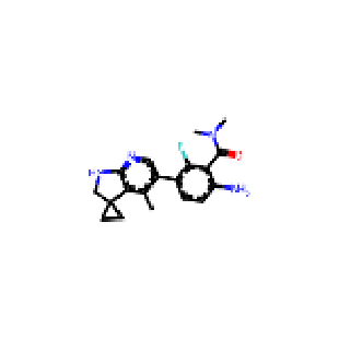 Cc1c(-c2ccc(N)c(C(=O)N(C)C)c2F)cnc2c1C1(CC1)CN2